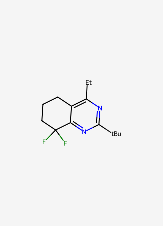 CCc1nc(C(C)(C)C)nc2c1CCCC2(F)F